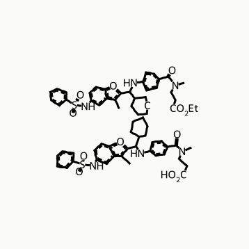 CCOC(=O)CCN(C)C(=O)c1ccc(NC(c2oc3ccc(NS(=O)(=O)c4ccccc4)cc3c2C)C2CCCCC2)cc1.Cc1c(C(Nc2ccc(C(=O)N(C)CCC(=O)O)cc2)C2CCCCC2)oc2ccc(NS(=O)(=O)c3ccccc3)cc12